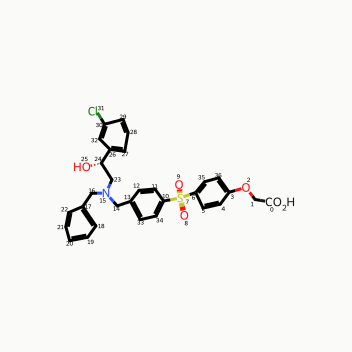 O=C(O)COc1ccc(S(=O)(=O)c2ccc(CN(Cc3ccccc3)C[C@H](O)c3cccc(Cl)c3)cc2)cc1